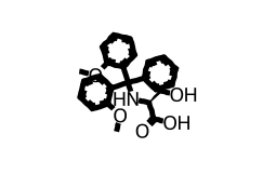 COc1ccccc1C(N[C@@H](CO)C(=O)O)(c1ccccc1)c1ccccc1OC